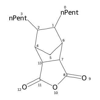 CCCCCC1C(CCCCC)C2CC1C1C(=O)OC(=O)C21